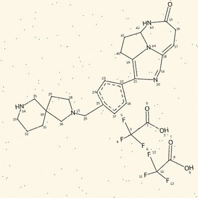 O=C(O)C(F)(F)F.O=C(O)C(F)(F)F.O=C1CC=C2C=NC(c3ccc(CN4CCC5(CCCNC5)C4)cc3)=C3CCC(N1)N23